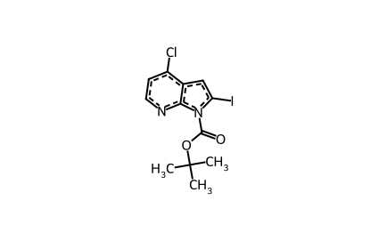 CC(C)(C)OC(=O)n1c(I)cc2c(Cl)ccnc21